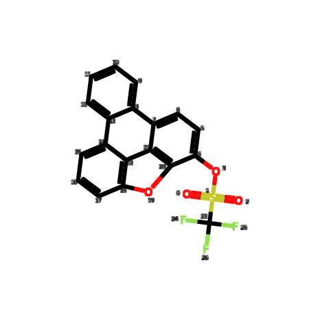 O=S(=O)(Oc1ccc2c3ccccc3c3cccc4oc1c2c43)C(F)(F)F